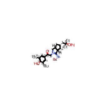 CCC(O)(CC)C[C@H]1C[C@H]2CN(CC(=O)c3cc(C(C)(C)C)c(O)c(C(C)(C)C)c3)/C(=N\Br)[C@H]2C1